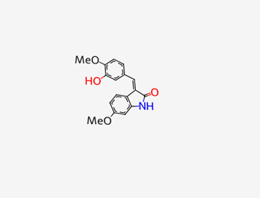 COc1ccc2c(c1)NC(=O)/C2=C/c1ccc(OC)c(O)c1